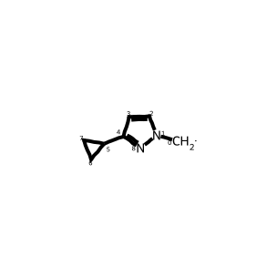 [CH2]n1ccc(C2CC2)n1